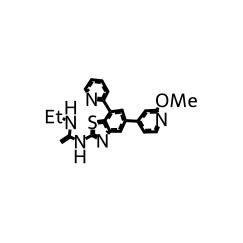 C=C(NCC)Nc1nc2cc(-c3ccnc(OC)c3)cc(-c3ccccn3)c2s1